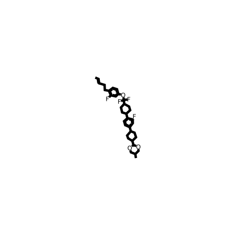 C/C=C/CCc1ccc(OC(F)(F)C2CCC(c3ccc(C4CCC(C5OCC(C)CO5)CC4)cc3F)CC2)cc1F